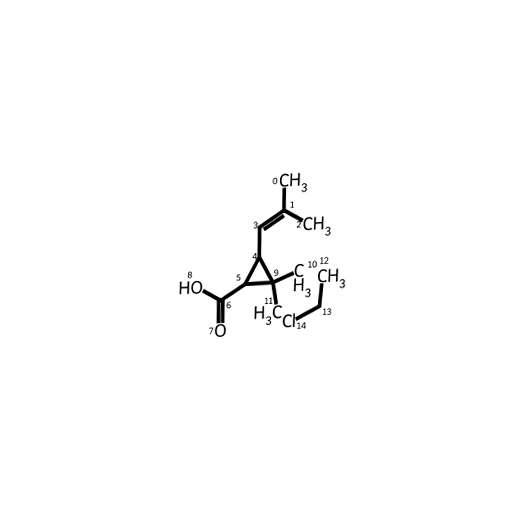 CC(C)=CC1C(C(=O)O)C1(C)C.CCCl